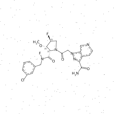 CO[C@H]1[C@@H](C(=O)N(F)Cc2cccc(Cl)c2)N(C(=O)Cn2nc(C(N)=O)c3ccncc32)C[C@@H]1F